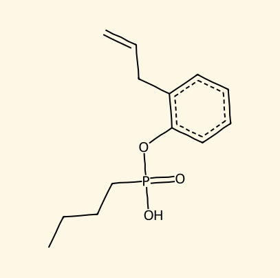 C=CCc1ccccc1OP(=O)(O)CCCC